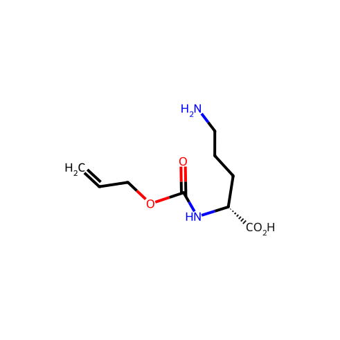 C=CCOC(=O)N[C@H](CCCN)C(=O)O